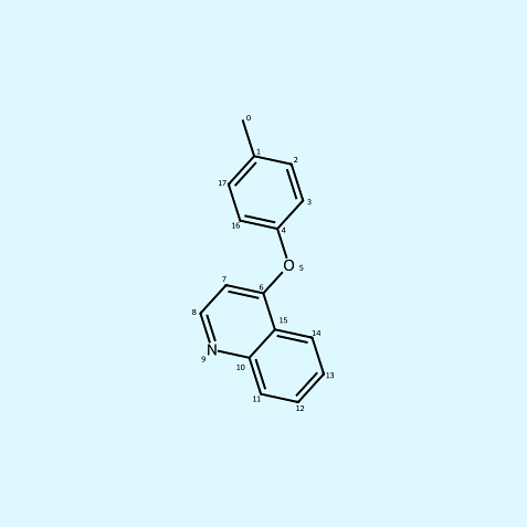 Cc1ccc(Oc2ccnc3ccccc23)cc1